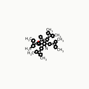 Cc1ccc2c(c1)c1cc(C)ccc1n2-c1ccc(-c2c(C#N)c(-c3ccc(-n4c5ccc(C)cc5c5cc(C)ccc54)cc3)c(-c3ccc(-n4c5ccc(C)cc5c5cc(C)ccc54)cc3)c(-c3nc4ccccc4n3-c3ccccc3)c2-c2ccc(-n3c4ccc(C)cc4c4cc(C)ccc43)cc2)cc1